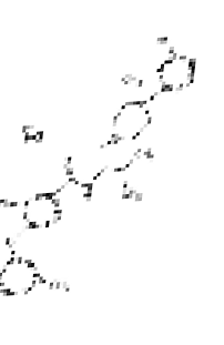 Cc1cccc(Oc2ccc(C(=O)N[C@H](CN3CCN(c4cccc(O)c4)[C@@H](C)C3)C(C)C)cc2Cl)c1.Cl.Cl